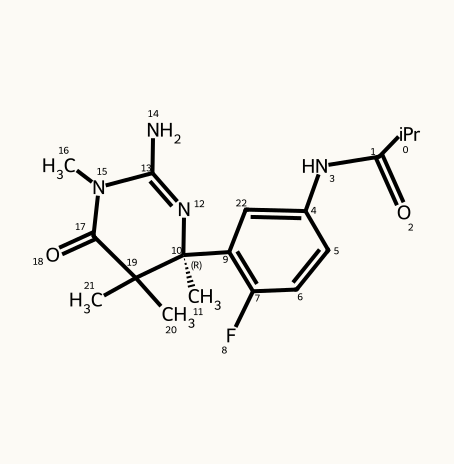 CC(C)C(=O)Nc1ccc(F)c([C@]2(C)N=C(N)N(C)C(=O)C2(C)C)c1